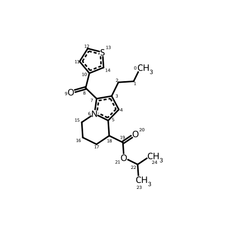 CCCc1cc2n(c1C(=O)c1ccsc1)CCCC2C(=O)OC(C)C